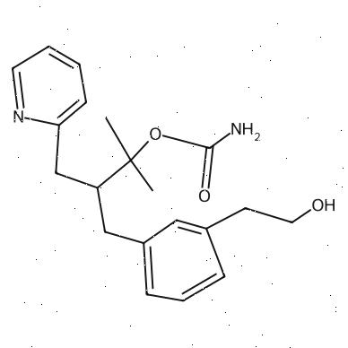 CC(C)(OC(N)=O)C(Cc1cccc(CCO)c1)Cc1ccccn1